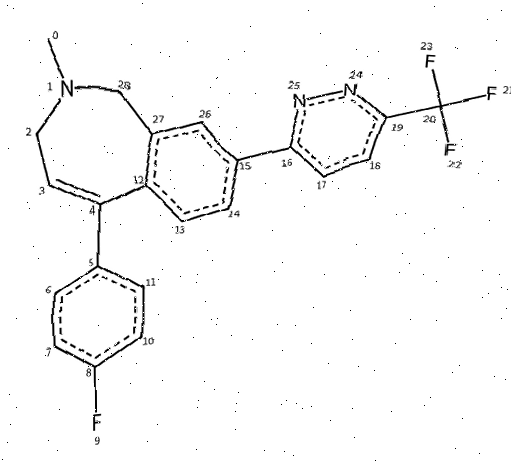 CN1CC=C(c2ccc(F)cc2)c2ccc(-c3ccc(C(F)(F)F)nn3)cc2C1